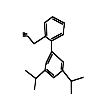 CC(C)c1cc(-c2ccccc2CBr)cc(C(C)C)c1